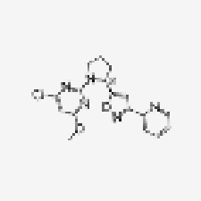 COc1cc(Cl)nc(N2CCC[C@H]2c2cc(-c3ccccn3)no2)n1